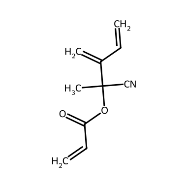 C=CC(=C)C(C)(C#N)OC(=O)C=C